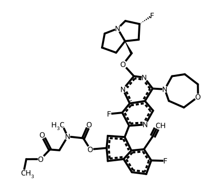 C#Cc1c(F)ccc2cc(OC(=O)N(C)CC(=O)OCC)cc(-c3ncc4c(N5CCCOCC5)nc(OC[C@@]56CCCN5C[C@H](F)C6)nc4c3F)c12